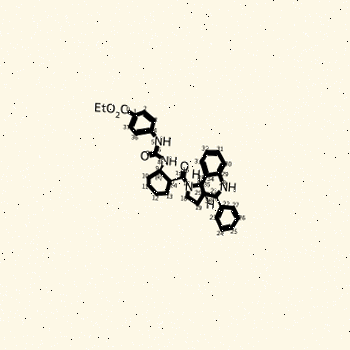 CCOC(=O)c1ccc(NC(=O)N[C@@H]2CCCC[C@@H]2C(=O)N2CC[C@@H]3[C@H](c4ccccc4)Nc4ccccc4[C@@H]32)cc1